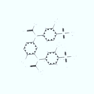 Cc1ccc(N(C(N)=O)c2ccc(S(=O)(=O)O)c(N)c2)cc1N(C(N)=O)c1ccc(S(=O)(=O)O)c(N)c1